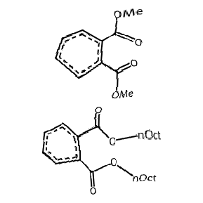 CCCCCCCCOC(=O)c1ccccc1C(=O)OCCCCCCCC.COC(=O)c1ccccc1C(=O)OC